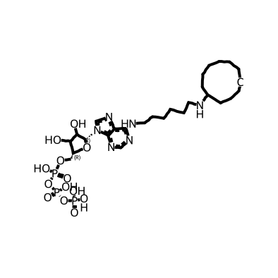 O=P(O)(O)OP(=O)(O)OP(=O)(O)OC[C@H]1O[C@@H](n2cnc3c(NCCCCCCNC4CCCCCCCCCC4)ncnc32)C(O)C1O